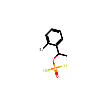 CCc1ccccc1C(C)OP(=O)(S)S